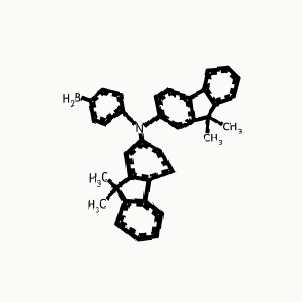 Bc1ccc(N(c2ccc3c(c2)C(C)(C)c2ccccc2-3)c2ccc3c(c2)C(C)(C)c2ccccc2-3)cc1